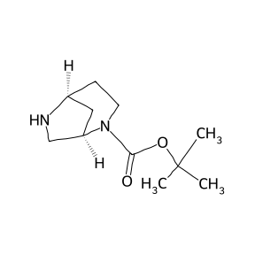 CC(C)(C)OC(=O)N1CC[C@H]2C[C@@H]1CN2